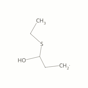 [CH2]CC(O)SCC